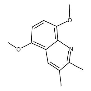 COc1ccc(OC)c2nc(C)c(C)cc12